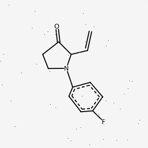 C=CC1C(=O)CCN1c1ccc(F)cc1